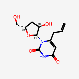 C=CCc1cc(=O)[nH]c(=O)n1[C@@H]1O[C@H](CO)C[C@H]1O